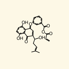 C=CC(=O)OC(=O)c1ccccc1.CC(C)=CCC(O)C1=CC(=O)c2c(O)ccc(O)c2C1=O